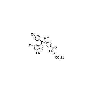 CCC[C@H](c1ccc(C(=O)NCCC(=O)OCC)cc1)C(c1ccc(Cl)cc1)C1CSc2c(C#N)cc(Cl)cc21